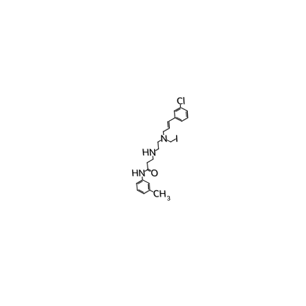 Cc1cccc(NC(=O)CCNCCN(CI)C/C=C/c2cccc(Cl)c2)c1